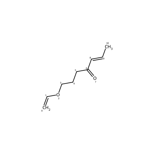 C=COCCCC(=O)C=CC